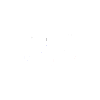 C/N=[N+](\N)[O-].CC(C)C(=O)O